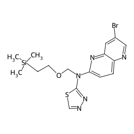 C[Si](C)(C)CCOCN(c1ccc2ncc(Br)cc2n1)c1nncs1